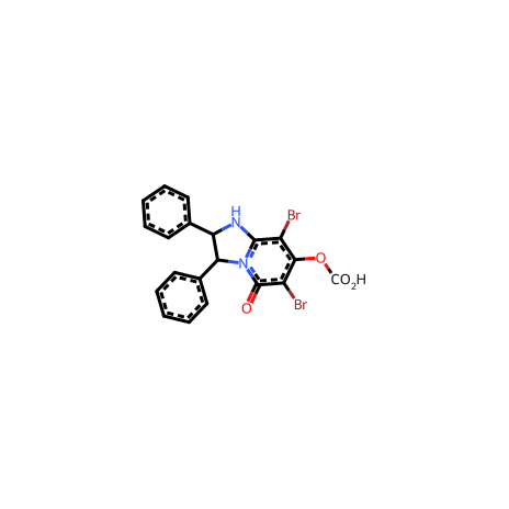 O=C(O)Oc1c(Br)c2n(c(=O)c1Br)C(c1ccccc1)C(c1ccccc1)N2